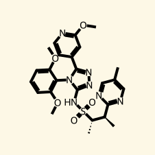 COc1cc(-c2nnc(NS(=O)(=O)[C@@H](C)[C@H](C)c3ncc(C)cn3)n2-c2c(OC)cccc2OC)ccn1